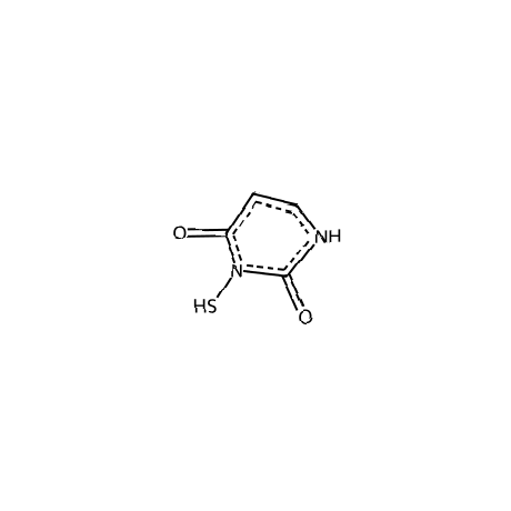 O=c1cc[nH]c(=O)n1S